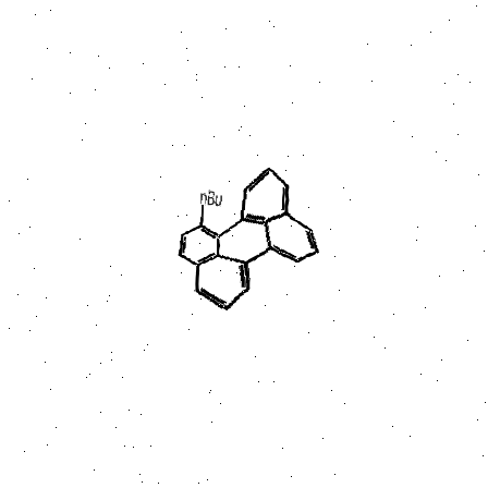 CCCCc1ccc2cccc3c4cccc5cccc(c1c23)c54